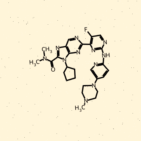 CN1CCN(c2ccc(Nc3ncc(F)c(-c4ncc5nc(C(=O)N(C)C)n(C6CCCC6)c5n4)n3)nc2)CC1